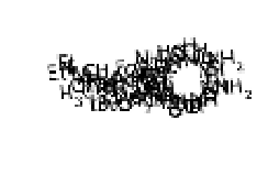 CCN(CC)CCNC(=O)c1c(C)[nH]c(/C=C2\C(=O)N(C(=O)Oc3c(COC(=O)C(C)C(C)C(=O)N[C@H](C(=O)N[C@@H](CCN)C(=O)N[C@H]4CCNC(=O)[C@H]([C@@H](C)O)NC(=O)[C@H](CCN)NC(=O)[C@H](CCN)NC(=O)[C@H](CC(C)C)NC(=O)[C@@H](Cc5ccccc5)NC(=O)[C@H](CCN)NC4=O)[C@@H](C)O)cccc3C(C)(C)C)c3ccc(F)cc32)c1C